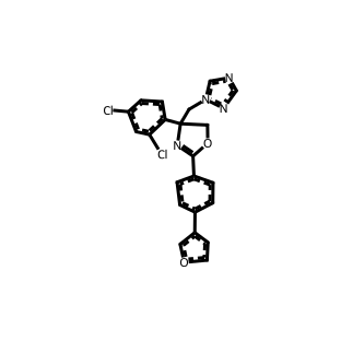 Clc1ccc(C2(Cn3cncn3)COC(c3ccc(-c4ccoc4)cc3)=N2)c(Cl)c1